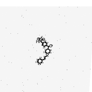 CS(=O)(=O)Nc1ccc(C(=O)C2CCN(C/C=C/c3cccnc3)CC2)cc1